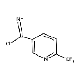 N=C(Cl)c1ccc(C(F)(F)F)nc1